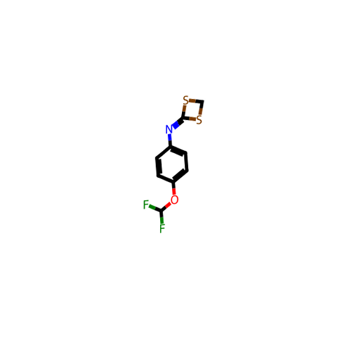 FC(F)Oc1ccc(N=C2SCS2)cc1